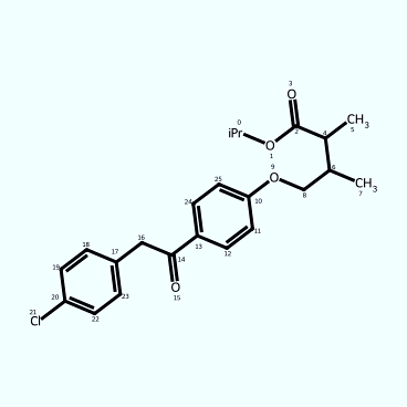 CC(C)OC(=O)C(C)C(C)COc1ccc(C(=O)Cc2ccc(Cl)cc2)cc1